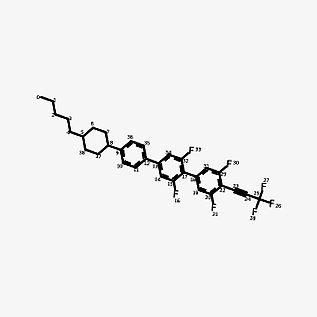 CCCCCC1CCC(c2ccc(-c3cc(F)c(-c4cc(F)c(C#CC(F)(F)F)c(F)c4)c(F)c3)cc2)CC1